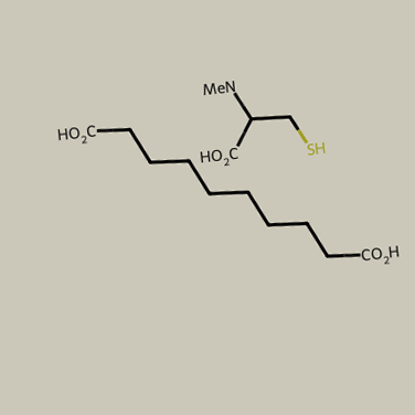 CNC(CS)C(=O)O.O=C(O)CCCCCCCCC(=O)O